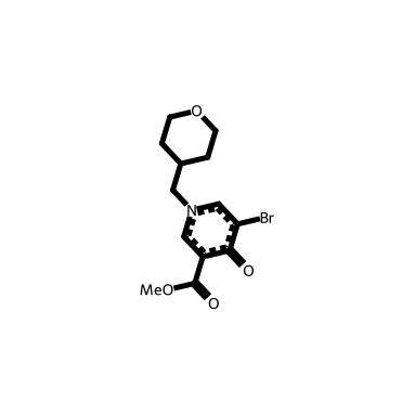 COC(=O)c1cn(CC2CCOCC2)cc(Br)c1=O